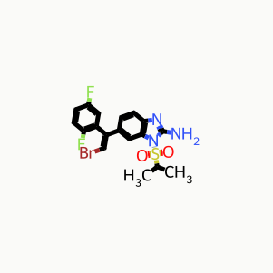 CC(C)S(=O)(=O)n1c(N)nc2ccc(C(=CBr)c3cc(F)ccc3F)cc21